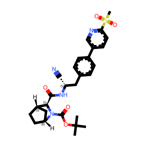 CC(C)(C)OC(=O)N1[C@@H]2CC[C@@H](C2)[C@H]1C(=O)N[C@H](C#N)Cc1ccc(-c2ccc(S(C)(=O)=O)nc2)cc1